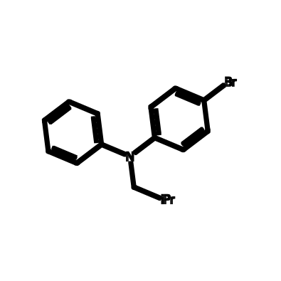 CC(C)CN(c1ccccc1)c1ccc(Br)cc1